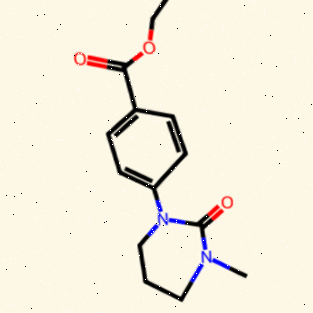 CCOC(=O)c1ccc(N2CCCN(C)C2=O)cc1